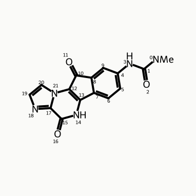 CNC(=O)Nc1ccc2c(c1)C(=O)c1c-2[nH]c(=O)c2nccn12